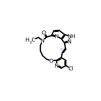 CCN1CCCCOc2ncc(Cl)cc2/C=C/c2n[nH]c3ccc(nc23)C1=O